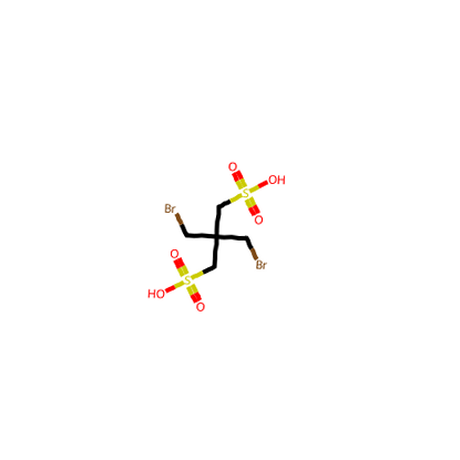 O=S(=O)(O)CC(CBr)(CBr)CS(=O)(=O)O